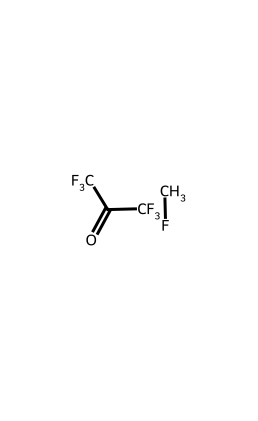 CF.O=C(C(F)(F)F)C(F)(F)F